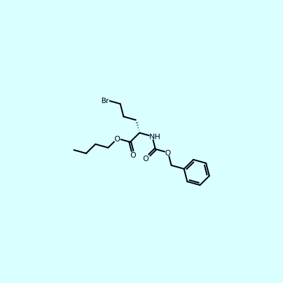 CCCCOC(=O)[C@H](CCCBr)NC(=O)OCc1ccccc1